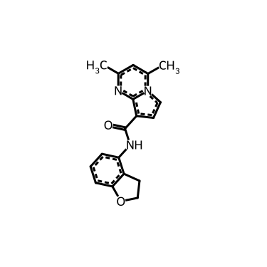 Cc1cc(C)n2ccc(C(=O)Nc3cccc4c3CCO4)c2n1